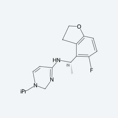 CC(C)N1C=CC(N[C@@H](C)c2c(F)ccc3c2CCO3)=NC1